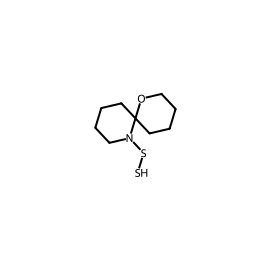 SSN1CCCCC12CCCCO2